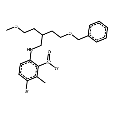 COCCC(CCOCc1ccccc1)CNc1ccc(Br)c(C)c1[N+](=O)[O-]